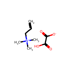 C=CC[N+](C)(C)C.O=C([O-])C(=O)O